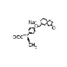 CC#C[C@@H](CC(=O)[O-])c1ccc(OCC2=C[C@]3(CCC2)CCC(=O)C3)cc1.[Na+]